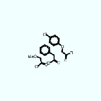 COCC(=O)Cl.O=C(Cl)COc1ccc(Cl)cc1.O=C(Cl)Cc1ccccc1